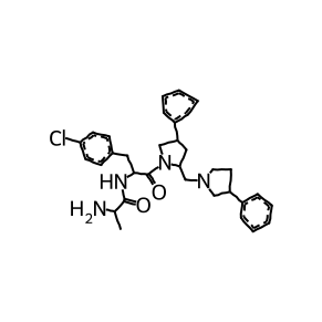 CC(N)C(=O)NC(Cc1ccc(Cl)cc1)C(=O)N1CC(c2ccccc2)CC1CN1CCC(c2ccccc2)C1